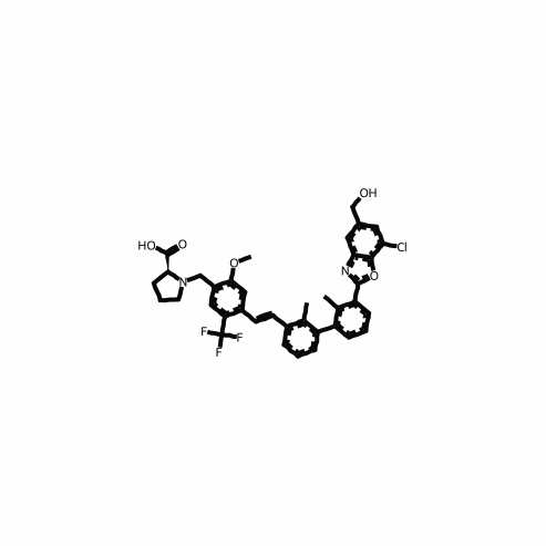 COc1cc(/C=C/c2cccc(-c3cccc(-c4nc5cc(CO)cc(Cl)c5o4)c3C)c2C)c(C(F)(F)F)cc1CN1CCC[C@H]1C(=O)O